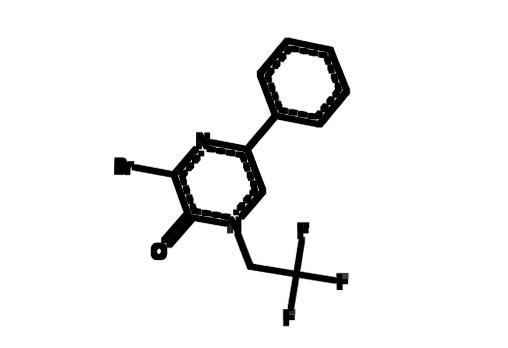 O=c1c(Br)nc(-c2ccccc2)cn1CC(F)(F)F